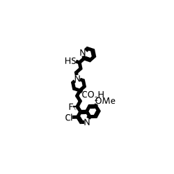 COc1ccc2ncc(Cl)c([C@@H](F)CCC3(C(=O)O)CCN(CCC(S)c4ccccn4)CC3)c2c1